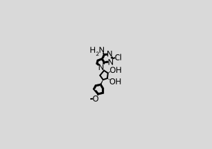 COc1ccc([C@H]2C[C@@H](n3ccc4c(N)nc(Cl)nc43)[C@H](O)[C@@H]2O)cc1